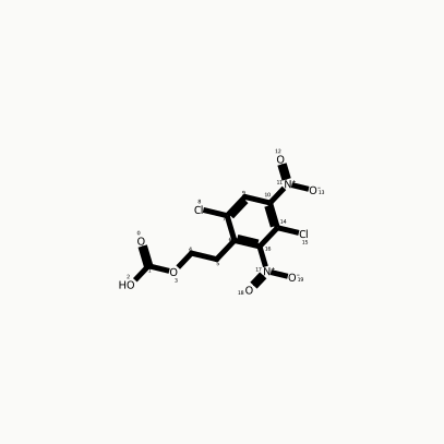 O=C(O)OCCc1c(Cl)cc([N+](=O)[O-])c(Cl)c1[N+](=O)[O-]